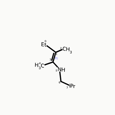 CC/C(C)=C(\C)NCC(C)C